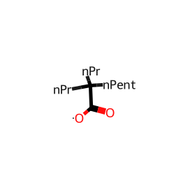 CCCCCC(CCC)(CCC)C([O])=O